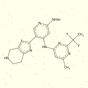 CC(=O)Nc1cc(Nc2cc(C)nc(C(C)(F)F)n2)c(-c2nc3c(s2)CNCC3)cn1